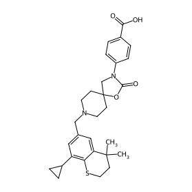 CC1(C)CCSc2c(C3CC3)cc(CN3CCC4(CC3)CN(c3ccc(C(=O)O)cc3)C(=O)O4)cc21